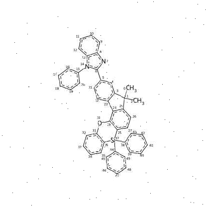 CC1(C)c2cc(-c3nc4ccccc4n3-c3ccccc3)ccc2-c2c1ccc1c2Oc2ccccc2[Si]1(c1ccccc1)c1ccccc1